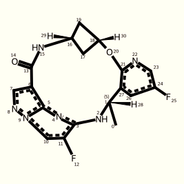 C[C@@H]1Nc2nc3c(cnn3cc2F)C(=O)N[C@H]2C[C@H](C2)Oc2ncc(F)cc21